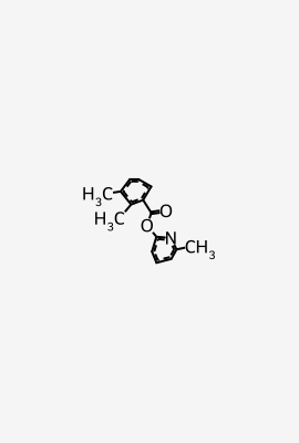 Cc1cccc(OC(=O)c2cccc(C)c2C)n1